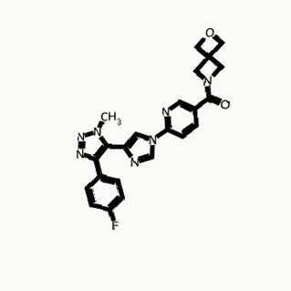 Cn1nnc(-c2ccc(F)cc2)c1-c1cn(-c2ccc(C(=O)N3CC4(COC4)C3)cn2)cn1